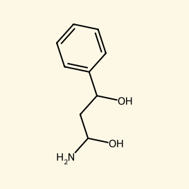 NC(O)CC(O)c1ccccc1